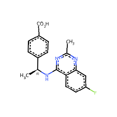 Cc1nc(N[C@@H](C)c2ccc(C(=O)O)cc2)c2ccc(F)cc2n1